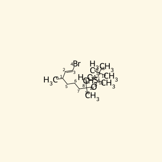 CC(C=CBr)CCCC(C)(C)O[Si](C)(C)C(C)(C)C